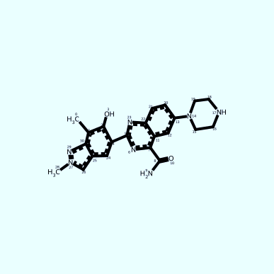 Cc1c(O)c(-c2nc(C(N)=O)c3cc(N4CCNCC4)ccc3n2)cc2cn(C)nc12